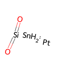 O=[Si]=O.[Pt].[SnH2]